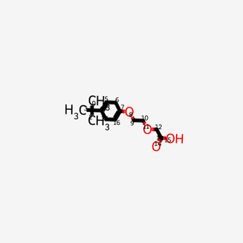 CC(C)(C)C1=CCC(OCCOCC(=O)O)=CC1